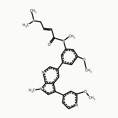 COc1cc(-c2cnc3c(c2)c(-c2ccnc(OC)c2)cn3C)cc(N(C)C(=O)/C=C/CN(C)C)c1